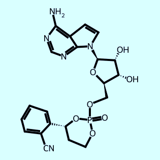 N#Cc1ccccc1[C@H]1CCOP(=O)(OC[C@H]2O[C@@H](n3ccc4c(N)ncnc43)[C@H](O)[C@@H]2O)O1